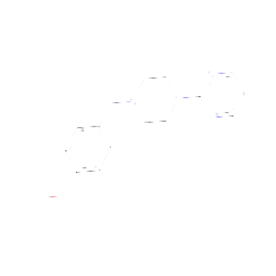 COc1ccc(CN2CCN(c3ncccn3)CC2)cc1Br